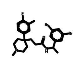 Cc1cc(C2(CCC(=O)NC(C)c3cc(Br)cc(Br)c3)CCN(C)CC2)ccc1F